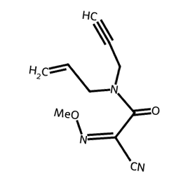 C#CCN(CC=C)C(=O)C(C#N)=NOC